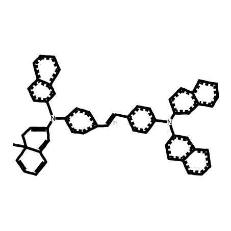 CC12C=CC=CC1=CC(N(c1ccc(/C=C/c3ccc(N(c4ccc5ccccc5c4)c4ccc5ccccc5c4)cc3)cc1)c1ccc3ccccc3c1)=CC2